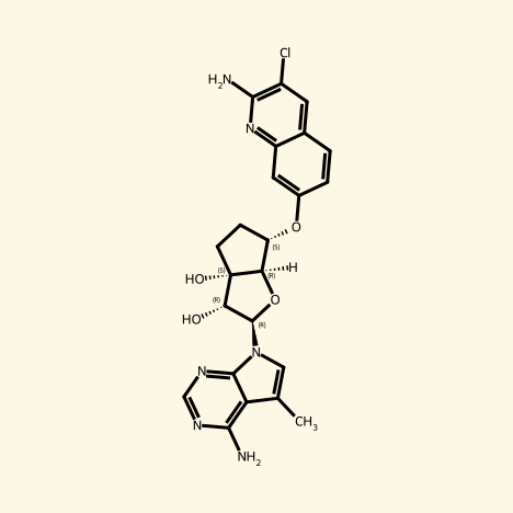 Cc1cn([C@@H]2O[C@@H]3[C@@H](Oc4ccc5cc(Cl)c(N)nc5c4)CC[C@]3(O)[C@H]2O)c2ncnc(N)c12